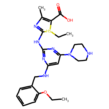 CCOc1ccccc1CNc1cc(N2CCNCC2)nc(NC2=NC(C)=C(C(=O)O)[SH]2CC)n1